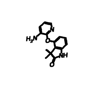 CC1(C)C(=O)Nc2cccc(Oc3ncccc3N)c21